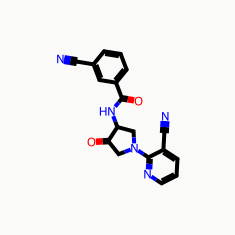 N#Cc1cccc(C(=O)NC2CN(c3ncccc3C#N)CC2=O)c1